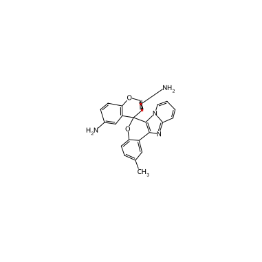 Cc1ccc2c(c1)-c1nc3ccccn3c1C1(O2)c2ccc(N)cc2Oc2ccc(N)cc21